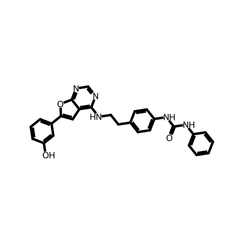 O=C(Nc1ccccc1)Nc1ccc(CCNc2ncnc3oc(-c4cccc(O)c4)cc23)cc1